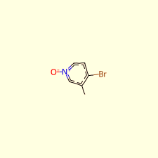 Cc1c[n+]([O-])ccc1Br